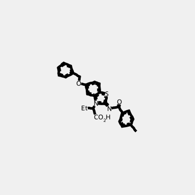 CCC(C(=O)O)n1c(=NC(=O)c2ccc(C)cc2)sc2ccc(OCc3ccccc3)cc21